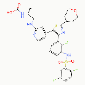 C[C@@H](CNc1cc(-c2sc(C3CCOCC3)nc2-c2cccc(NS(=O)(=O)c3cc(F)ccc3F)c2F)ccn1)NC(=O)O